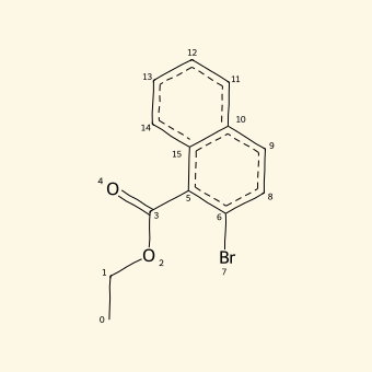 CCOC(=O)c1c(Br)ccc2ccccc12